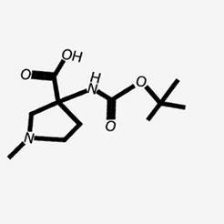 CN1CCC(NC(=O)OC(C)(C)C)(C(=O)O)C1